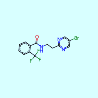 O=C(NCCc1ncc(Br)cn1)c1ccccc1C(F)(F)F